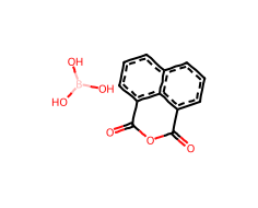 O=C1OC(=O)c2cccc3cccc1c23.OB(O)O